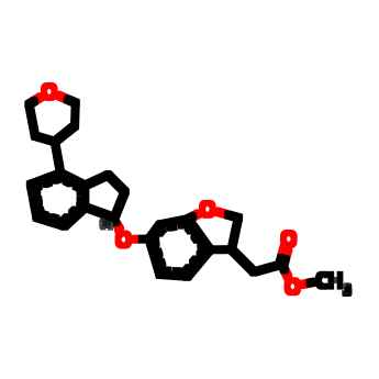 COC(=O)CC1COc2cc(O[C@@H]3CCc4c(C5CCOCC5)cccc43)ccc21